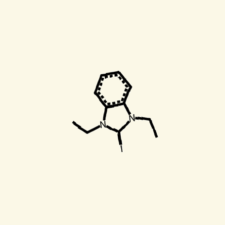 CCN1c2ccccc2N(CC)C1I